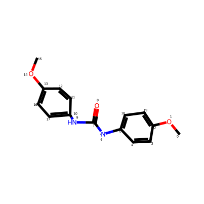 COc1ccc([N]C(=O)Nc2ccc(OC)cc2)cc1